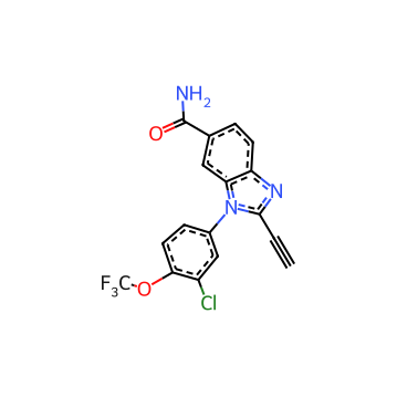 C#Cc1nc2ccc(C(N)=O)cc2n1-c1ccc(OC(F)(F)F)c(Cl)c1